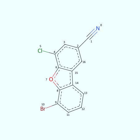 N#Cc1cc(Cl)c2oc3c(Br)cccc3c2c1